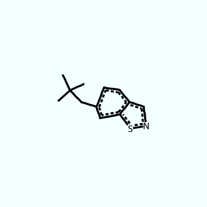 CC(C)(C)Cc1ccc2cnsc2c1